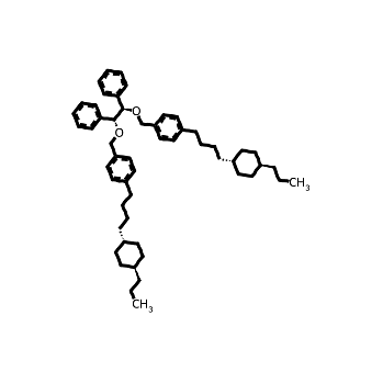 CCC[C@H]1CC[C@H](CCCCc2ccc(CO[C@H](c3ccccc3)[C@H](OCc3ccc(CCCC[C@H]4CC[C@H](CCC)CC4)cc3)c3ccccc3)cc2)CC1